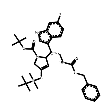 CC(C)(C)OC(=O)N1CC(O[Si](C)(C)C(C)(C)C)=CC1[C@@H](CNC(=O)OCc1ccccc1)c1c[nH]c2cc(F)ccc12